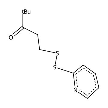 CC(C)(C)C(=O)CCSSc1ccccn1